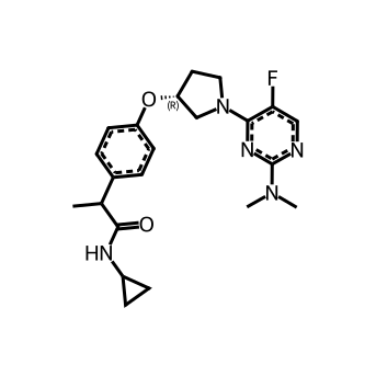 CC(C(=O)NC1CC1)c1ccc(O[C@@H]2CCN(c3nc(N(C)C)ncc3F)C2)cc1